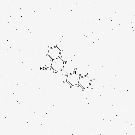 O=C(O)c1ccccc1OCc1ccc2ccccc2n1